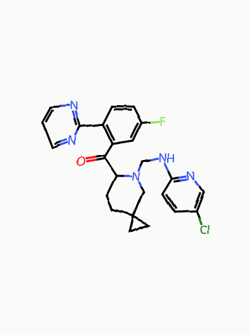 O=C(c1cc(F)ccc1-c1ncccn1)C1CCC2(CC2)CN1CNc1ccc(Cl)cn1